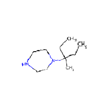 CCC(C)(CC)N1CCNCC1